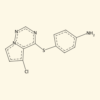 Nc1ccc(Sc2ncnn3ccc(Cl)c23)cc1